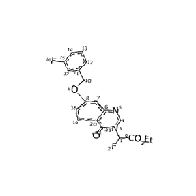 CCOC(=O)C(F)n1cnc2cc(OCc3cccc(F)c3)ccc2c1=O